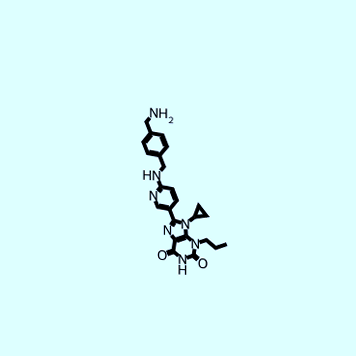 CCCn1c(=O)[nH]c(=O)c2nc(-c3ccc(NCc4ccc(CN)cc4)nc3)n(C3CC3)c21